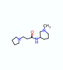 CN1CCCC(NC(=O)CCN2CCCC2)C1